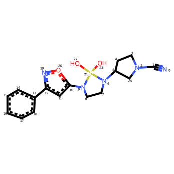 N#CN1CCC(N2CCN(c3cc(-c4ccccc4)no3)S2(O)O)C1